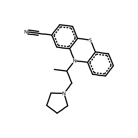 CC(CN1CCCC1)N1c2ccccc2Sc2ccc(C#N)cc21